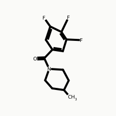 CC1CCN(C(=O)c2cc(F)c(F)c(F)c2)CC1